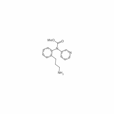 COC(=O)N(c1cccnc1)c1ccccc1CCCN